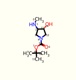 CNC1CN(C(=O)OC(C)(C)C)C[C@@H]1O